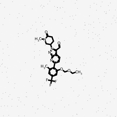 CCOCOc1cc(C(F)(F)F)cc(C)c1-c1ccc2c(C=O)n(C3CCC(=O)N(C)C3)nc2n1